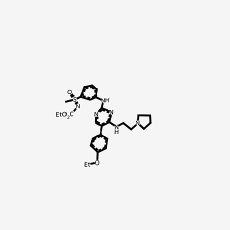 CCOC(=O)N=S(C)(=O)c1cccc(Nc2ncc(-c3ccc(OCC)cc3)c(NCCN3CCCC3)n2)c1